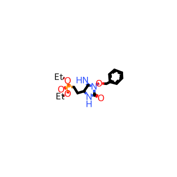 CCOP(=O)(CCC1NC(=O)N(OCc2ccccc2)C1=N)OCC